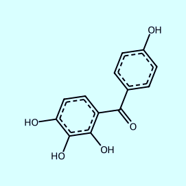 O=C(c1ccc(O)cc1)c1ccc(O)c(O)c1O